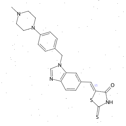 CN1CCN(c2ccc(Cn3cnc4ccc(/C=C5\SC(=S)NC5=O)cc43)cc2)CC1